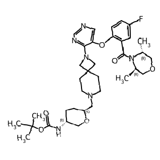 C[C@@H]1COC[C@@H](C)N1C(=O)c1cc(F)ccc1Oc1cncnc1N1CC2(CCN(C[C@@H]3CC[C@@H](NC(=O)OC(C)(C)C)CO3)CC2)C1